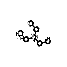 CC1N=CC=CC1c1cccc(-c2nc(-c3cccc(-c4cccnc4)c3)nc(-c3cccc(-c4cccnc4)c3)n2)c1